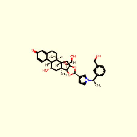 C[C@H](c1cccc(CO)c1)n1ccc([C@@H]2O[C@@H]3C[C@H]4[C@@H]5CCC6=CC(=O)C=C[C@]6(C)[C@H]5[C@@H](O)C[C@]4(C)[C@]3(C(=O)CO)O2)c1